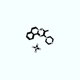 CCS(=O)(=O)[O-].Cc1n[n+]2ccc3ccccc3c2nc1N1CCOCC1